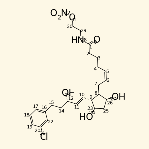 O=C(CCC/C=C\C[C@@H]1[C@@H](/C=C/[C@@H](O)CCc2cccc(Cl)c2)[C@H](O)C[C@@H]1O)NCCO[N+](=O)[O-]